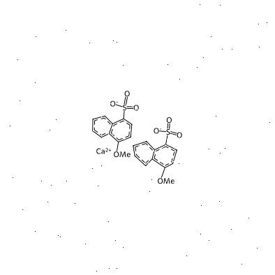 COc1ccc(S(=O)(=O)[O-])c2ccccc12.COc1ccc(S(=O)(=O)[O-])c2ccccc12.[Ca+2]